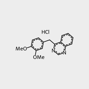 COc1ccc(Cc2ncnc3ccccc23)cc1OC.Cl